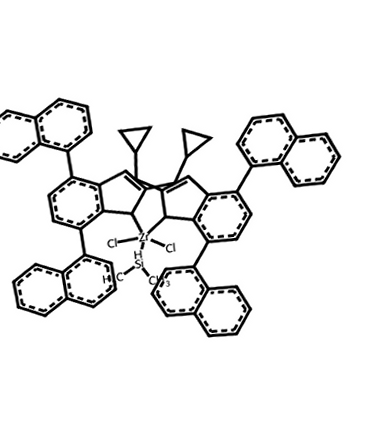 C[SiH](C)[Zr]([Cl])([Cl])([CH]1C(CC2CC2)=Cc2c(-c3cccc4ccccc34)ccc(-c3cccc4ccccc34)c21)[CH]1C(CC2CC2)=Cc2c(-c3cccc4ccccc34)ccc(-c3cccc4ccccc34)c21